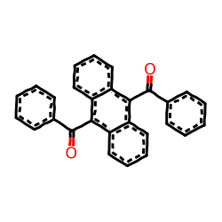 O=C(c1ccccc1)c1c2ccccc2c(C(=O)c2ccccc2)c2ccccc12